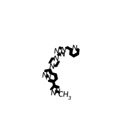 Cn1cc(-c2ccc3c(N4CCN(c5ncn(Cc6ccccn6)n5)CC4)cnn3c2)cn1